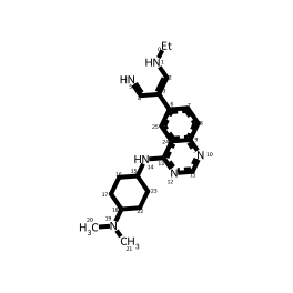 CCN/C=C(\C=N)c1ccc2ncnc(NC3CCC(N(C)C)CC3)c2c1